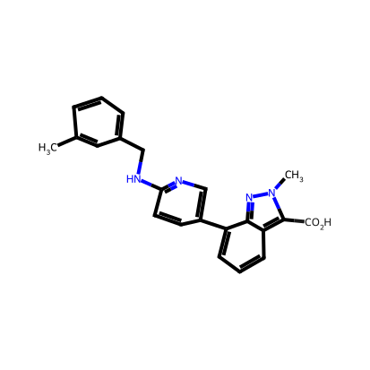 Cc1cccc(CNc2ccc(-c3cccc4c(C(=O)O)n(C)nc34)cn2)c1